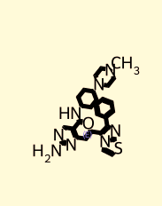 CN1CCN(C2CCC(NC(=O)c3cnc(N)nc3/C=C/c3c(-c4ccccc4)nc4sccn34)CC2)CC1